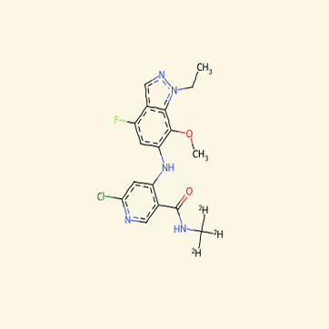 [2H]C([2H])([2H])NC(=O)c1cnc(Cl)cc1Nc1cc(F)c2cnn(CC)c2c1OC